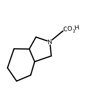 O=C(O)N1CC2CCCCC2C1